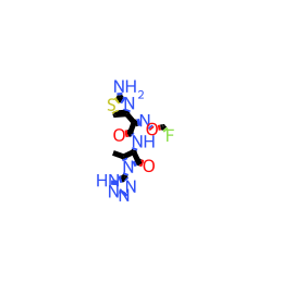 CC1C(NC(=O)C(=NOCF)c2csc(N)n2)C(=O)N1c1nnn[nH]1